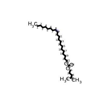 CCCCCCCC/C=C\CCCCCCCCCCCCOC(=O)OCCCC(C)C